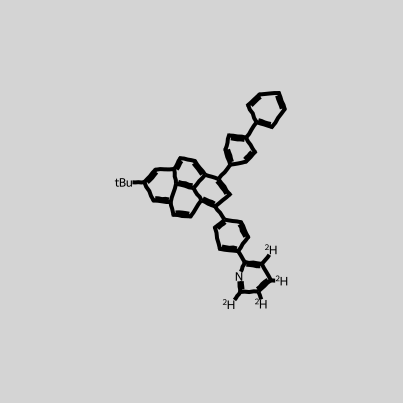 [2H]c1nc(-c2ccc(-c3cc(-c4ccc(-c5ccccc5)cc4)c4ccc5cc(C(C)(C)C)cc6ccc3c4c56)cc2)c([2H])c([2H])c1[2H]